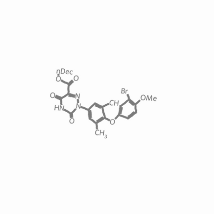 CCCCCCCCCCOC(=O)c1nn(-c2cc(C)c(Oc3ccc(OC)c(Br)c3)c(C)c2)c(=O)[nH]c1=O